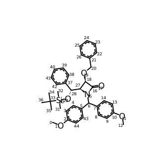 COc1ccc(C(c2ccc(OC)cc2)N2C(=O)[C@H](OCc3ccccc3)[C@@H]2[C@H](O[Si](C)(C)C(C)(C)C)c2ccccc2)cc1